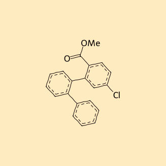 COC(=O)c1ccc(Cl)cc1-c1ccccc1-c1ccccc1